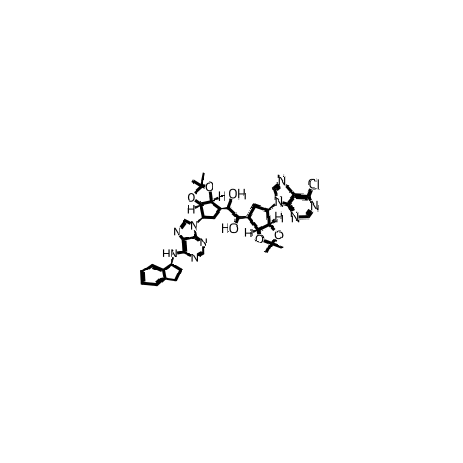 CC1(C)O[C@@H]2[C@H](O1)[C@@H](C(O)C(O)[C@H]1C[C@@H](n3cnc4c(N[C@H]5CCc6ccccc65)ncnc43)[C@@H]3OC(C)(C)O[C@@H]31)C[C@H]2n1cnc2c(Cl)ncnc21